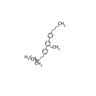 CCCCCc1ccc(-c2ccc(-c3ccc(CCCN(C)SOC)cc3)c(CC)c2)cc1